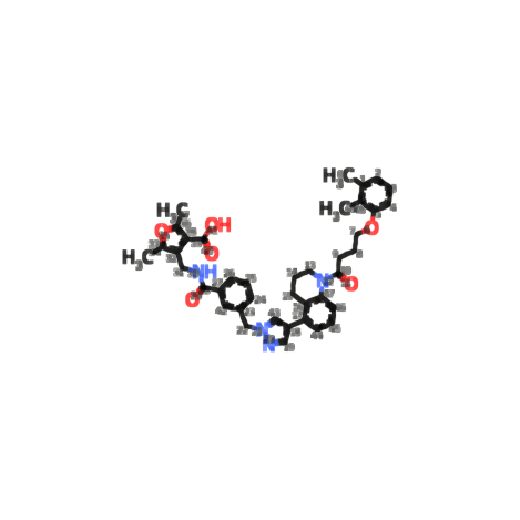 Cc1cccc(OCCCC(=O)N2CCCc3c(-c4cnn(Cc5cccc(C(=O)NCc6c(C)oc(C)c6C(=O)O)c5)c4)cccc32)c1C